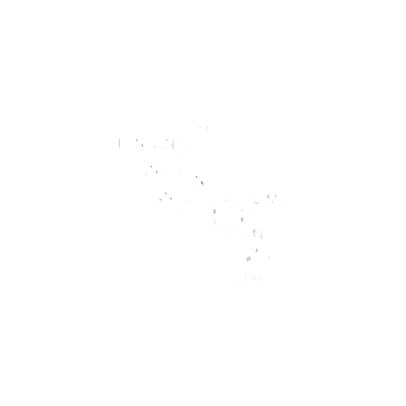 CCOc1nc(N)nc2ncc(-c3ccc(NC(=O)OC(C)(C)C)c(OC)c3)nc12